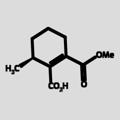 COC(=O)C1=C(C(=O)O)[C@@H](C)CCC1